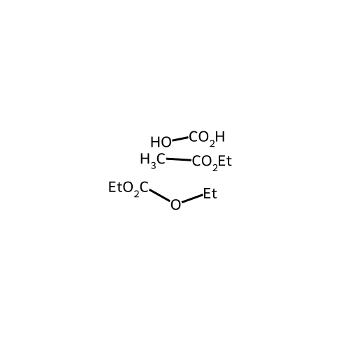 CCOC(=O)OCC.CCOC(C)=O.O=C(O)O